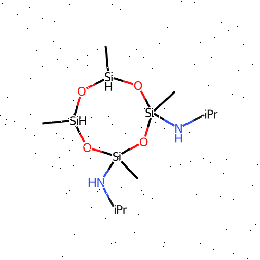 CC(C)N[Si]1(C)O[SiH](C)O[SiH](C)O[Si](C)(NC(C)C)O1